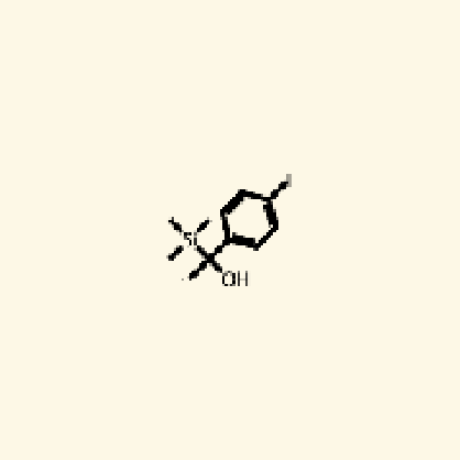 [CH2]C(O)(c1ccc(I)cc1)[Si](C)(C)C